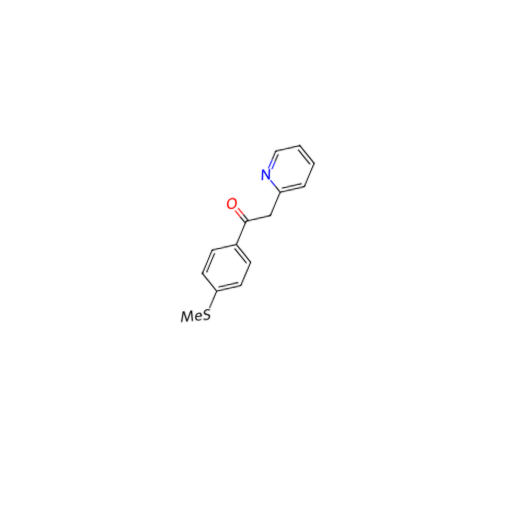 CSc1ccc(C(=O)Cc2ccccn2)cc1